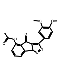 COc1ccc(C2=C3C(=O)c4c(NC(C)=O)cccc4C3N=N2)cc1OC